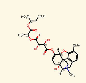 COc1ccc2c3c1O[C@H]1C(OC(=O)[C@H](O)[C@@H](O)C(=O)O[C@@H](C)C(=O)O[C@H](CC(=O)O)C(=O)O)=CC[C@@]4(O)[C@@H](C2)N(C)CC[C@]314